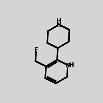 FCC1=C(C2CCNCC2)NCC=C1